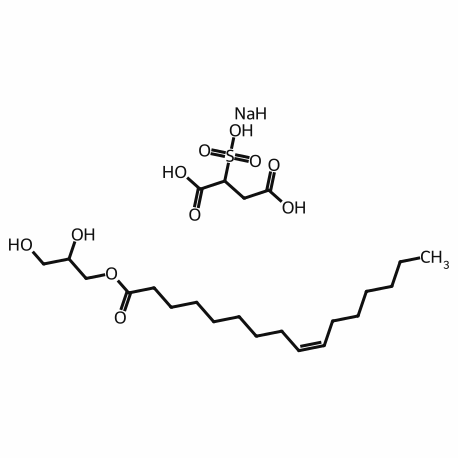 CCCCCC/C=C\CCCCCCCC(=O)OCC(O)CO.O=C(O)CC(C(=O)O)S(=O)(=O)O.[NaH]